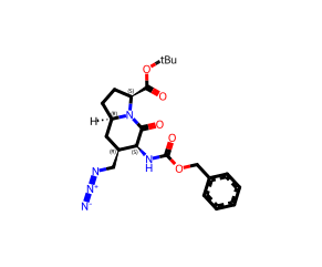 CC(C)(C)OC(=O)[C@@H]1CC[C@@H]2C[C@H](CN=[N+]=[N-])[C@H](NC(=O)OCc3ccccc3)C(=O)N21